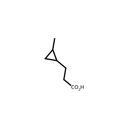 CC1CC1CCC(=O)O